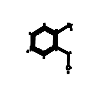 [O]Cc1cnccc1Br